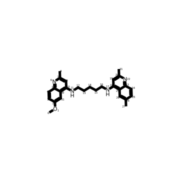 COc1ccc2nc(C)cc(NCCCCCNc3cc(C)nc4ccc(C)cc34)c2c1